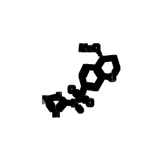 CO[C@@H]1CCOc2cc(S(=O)(=O)N(C)c3ncns3)ccc21